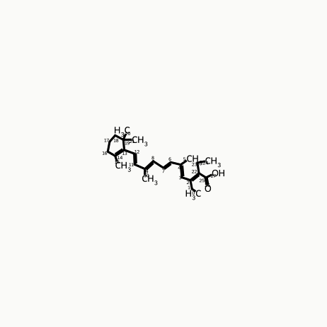 CCC(C=C(C)C=CC=C(C)C=CC1=C(C)CCCC1(C)C)=C(CC)C(=O)O